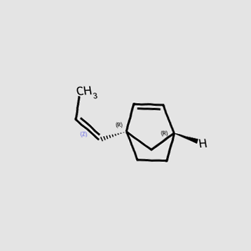 C/C=C\[C@@]12C=C[C@H](CC1)C2